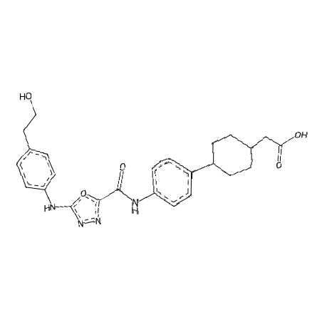 O=C(O)CC1CCC(c2ccc(NC(=O)c3nnc(Nc4ccc(CCO)cc4)o3)cc2)CC1